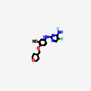 N#Cc1cc(Nc2ncc(F)c(NF)n2)ccc1OCC1CCOCC1